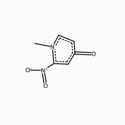 Cn1ccc(=O)cc1[N+](=O)[O-]